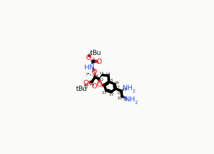 CC(C)(C)OC(=O)NO[C@](C)(C(=O)OC(C)(C)C)[C@H]1CCc2cc([C@H](N)CN)ccc2O1